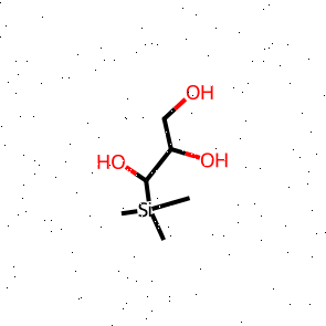 C[Si](C)(C)C(O)C(O)CO